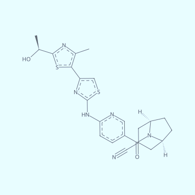 Cc1nc([C@H](C)O)sc1-c1csc(Nc2ccc(C(=O)N3[C@@H]4CC[C@H]3CC(C#N)C4)cn2)n1